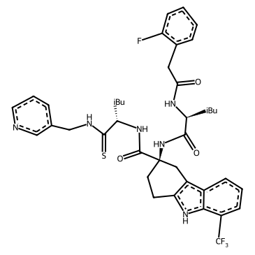 CCC(C)[C@H](NC(=O)Cc1ccccc1F)C(=O)N[C@]1(C(=O)N[C@H](C(=S)NCc2cccnc2)C(C)CC)CCc2[nH]c3c(C(F)(F)F)cccc3c2C1